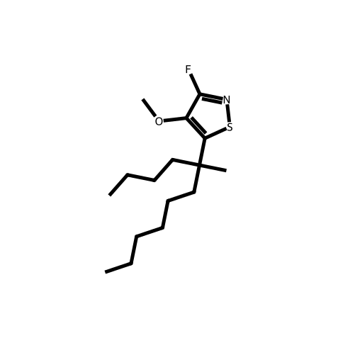 CCCCCCC(C)(CCCC)c1snc(F)c1OC